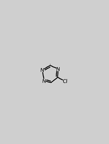 Clc1cnn[c]n1